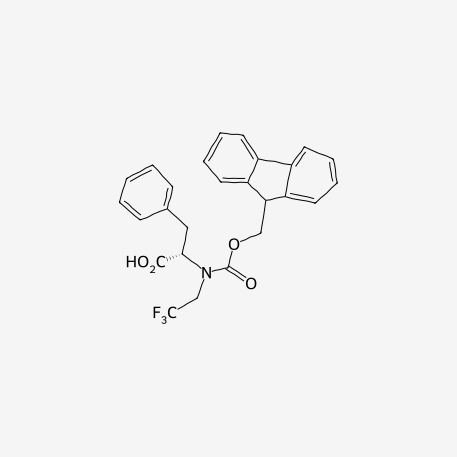 O=C(O)[C@H](Cc1ccccc1)N(CC(F)(F)F)C(=O)OCC1c2ccccc2-c2ccccc21